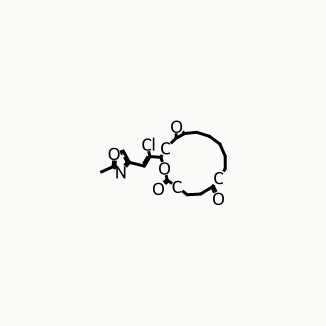 Cc1nc(/C=C(\Cl)C2CC3OC3CCCCCCC(=O)CCCC(=O)O2)co1